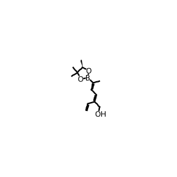 C=C/C(=C\C=C(/C)B1O[C@H](C)C(C)(C)O1)CO